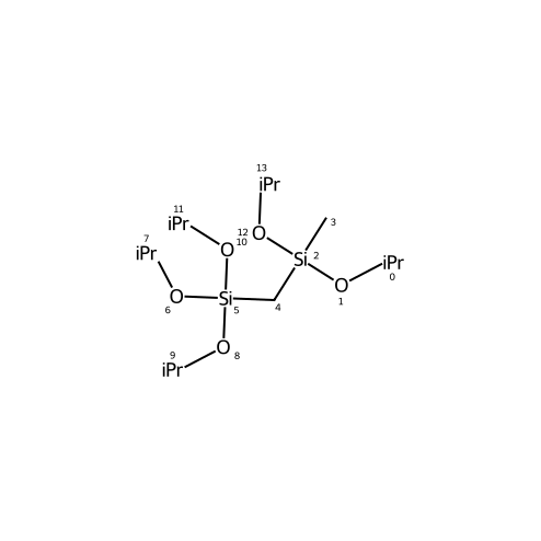 CC(C)O[Si](C)(C[Si](OC(C)C)(OC(C)C)OC(C)C)OC(C)C